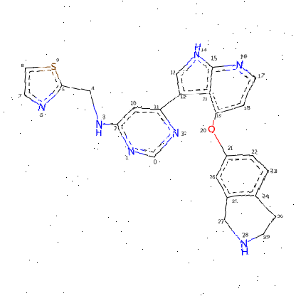 c1nc(NCc2nccs2)cc(-c2c[nH]c3nccc(Oc4ccc5c(c4)CNCC5)c23)n1